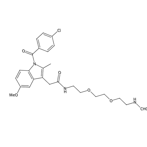 COc1ccc2c(c1)c(CC(=O)NCCOCCOCCNC=O)c(C)n2C(=O)c1ccc(Cl)cc1